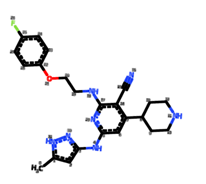 Cc1cc(Nc2cc(C3CCNCC3)c(C#N)c(NCCOc3ccc(F)cc3)n2)n[nH]1